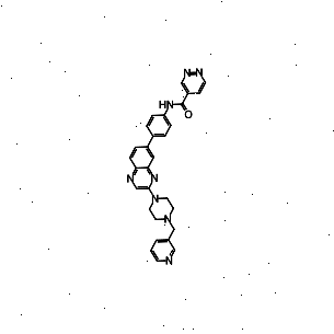 O=C(Nc1ccc(-c2ccc3ncc(N4CCN(Cc5cccnc5)CC4)nc3c2)cc1)c1ccnnc1